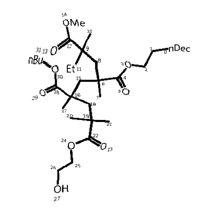 CCCCCCCCCCCCOC(=O)C(C)(CC(C)(CC)C(=O)OC)CC(C)(CC(C)(C)C(=O)OCCO)C(=O)OCCCC